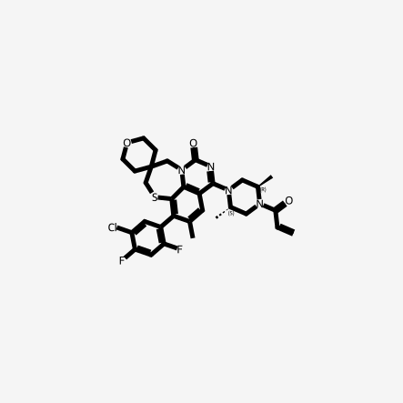 C=CC(=O)N1C[C@H](C)N(c2nc(=O)n3c4c(c(-c5cc(Cl)c(F)cc5F)c(C)cc24)SCC2(CCOCC2)C3)C[C@H]1C